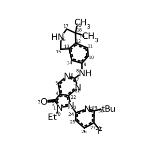 CCn1c(=O)c2cnc(Nc3ccc4c(c3)CNCC4(C)C)nc2n1-c1ccc(F)c(C(C)(C)C)n1